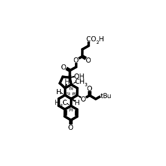 CC(C)(C)CC(=O)O[C@@H]1C[C@@]2(C)[C@@H](CC[C@]2(O)C(=O)COC(=O)CCC(=O)O)[C@@H]2CCC3=CC(=O)C=C[C@]3(C)[C@H]21